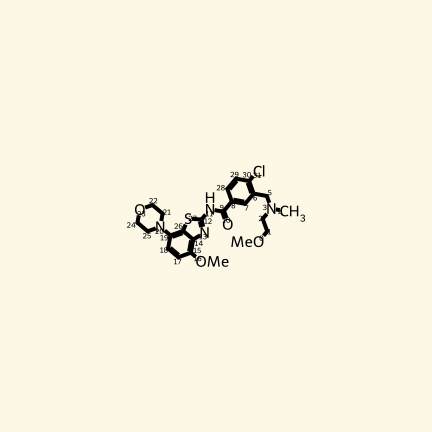 COCCN(C)Cc1cc(C(=O)Nc2nc3c(OC)ccc(N4CCOCC4)c3s2)ccc1Cl